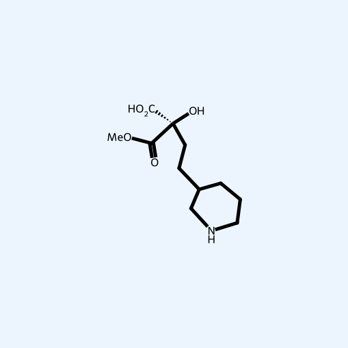 COC(=O)[C@@](O)(CCC1CCCNC1)C(=O)O